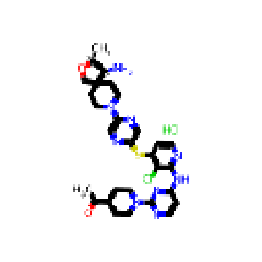 CC(=O)C1CCN(c2nccc(Nc3nccc(Sc4cnc(N5CCC6(CC5)CO[C@@H](C)[C@H]6N)cn4)c3Cl)n2)CC1.Cl